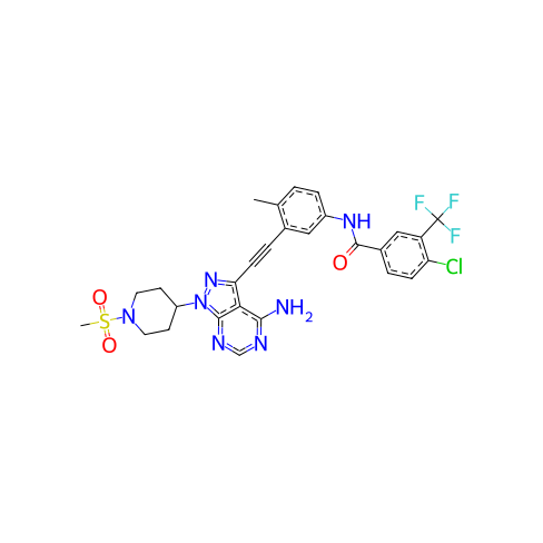 Cc1ccc(NC(=O)c2ccc(Cl)c(C(F)(F)F)c2)cc1C#Cc1nn(C2CCN(S(C)(=O)=O)CC2)c2ncnc(N)c12